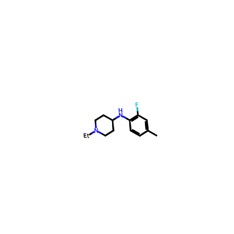 CCN1CCC(Nc2ccc(C)cc2F)CC1